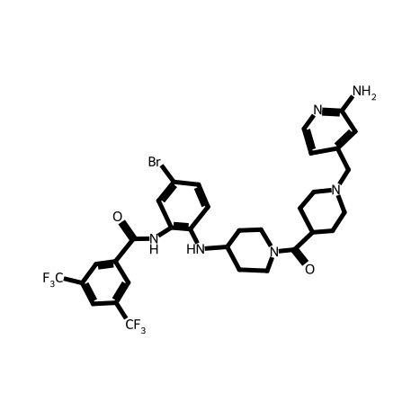 Nc1cc(CN2CCC(C(=O)N3CCC(Nc4ccc(Br)cc4NC(=O)c4cc(C(F)(F)F)cc(C(F)(F)F)c4)CC3)CC2)ccn1